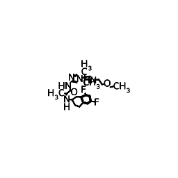 CCOCCNCC(C)(C)n1cnc(NC(=O)C(C)NC2CCc3cc(F)cc(F)c3C2)c1